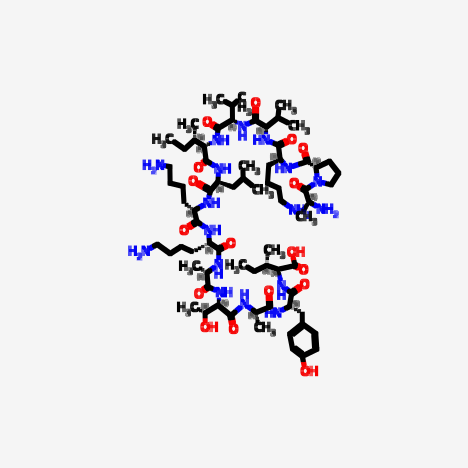 CC[C@H](C)[C@H](NC(=O)[C@H](Cc1ccc(O)cc1)NC(=O)[C@H](C)NC(=O)[C@@H](NC(=O)[C@H](C)NC(=O)[C@H](CCCCN)NC(=O)[C@H](CCCCN)NC(=O)[C@H](CC(C)C)NC(=O)[C@@H](NC(=O)[C@@H](NC(=O)[C@@H](NC(=O)[C@H](CCCCN)NC(=O)[C@@H]1CCCN1C(=O)[C@H](C)N)C(C)C)C(C)C)[C@@H](C)CC)[C@@H](C)O)C(=O)O